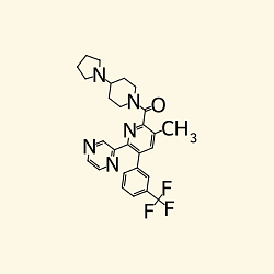 Cc1cc(-c2cccc(C(F)(F)F)c2)c(-c2cnccn2)nc1C(=O)N1CCC(N2CCCC2)CC1